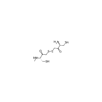 CN[C@@H](CS)C(=O)CSSCC(=O)[C@@H](N)CS